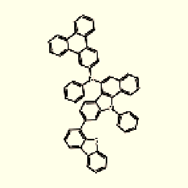 c1ccc(N(c2ccc3c4ccccc4c4ccccc4c3c2)c2cc3ccccc3c3c2c2ccc(-c4cccc5c4sc4ccccc45)cc2n3-c2ccccc2)cc1